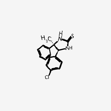 C[C@]1(c2ccccc2)NC(=S)N[C@H]1c1ccc(Cl)cc1